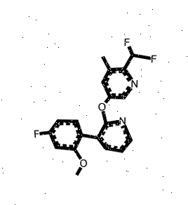 COc1cc(F)ccc1-c1cccnc1Oc1cnc(C(F)F)c(C)c1